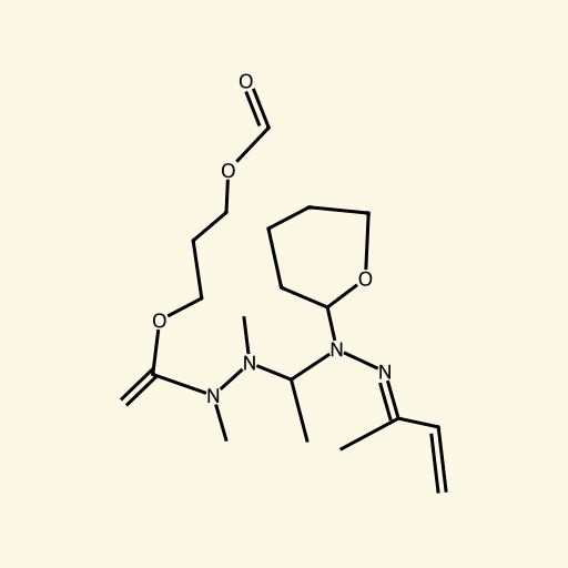 C=C/C(C)=N/N(C1CCCCO1)C(C)N(C)N(C)C(=C)OCCCOC=O